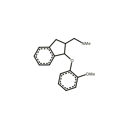 CNCC1Cc2ccccc2C1Oc1ccccc1OC